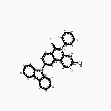 O=c1c2ccc(-n3c4ccccc4c4ccccc43)cc2c2cnc(Cl)nc2n1-c1ccccc1